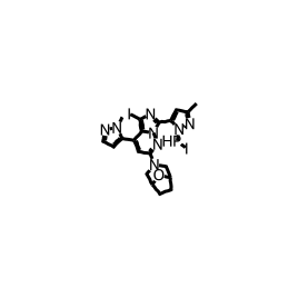 Cc1cc(-c2nc(I)c3c(-c4ccnn4C)cc(N4CC5CCC(C4)O5)nn23)n(PI)n1